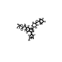 CN(C(=O)OC(C)(C)C)c1cc2c(cn1)c(-c1cnn(C)c1)nn2[C@H]1CC[C@@H](Oc2ccccc2)CC1